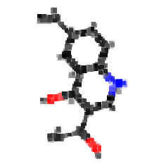 COc1ccc2[nH]cc(C(=O)C(C)(C)C)c(=O)c2c1